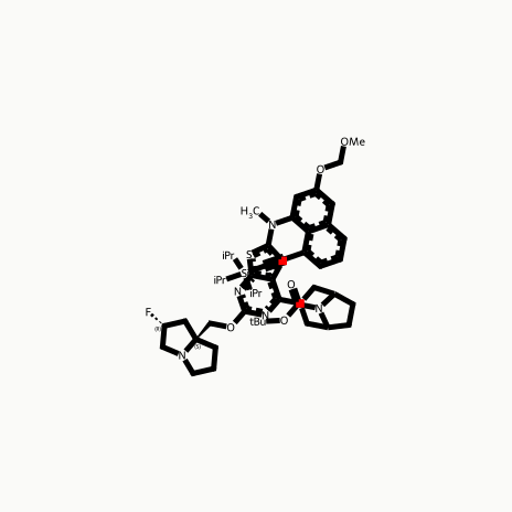 COCOc1cc(N(C)c2nc3c(N4CC5CCC(C4)N5C(=O)OC(C)(C)C)nc(OC[C@@]45CCCN4C[C@H](F)C5)nc3s2)c2c(C#C[Si](C(C)C)(C(C)C)C(C)C)cccc2c1